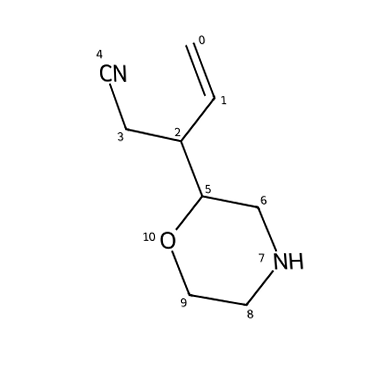 C=CC(CC#N)C1CNCCO1